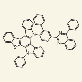 c1ccc(-c2cc(-c3nc(-c4ccccc4)c4ccccc4n3)ccc2-n2c3ccccc3c3c4c5ccccc5sc4c4c(c5ccccc5n4-c4ccccc4)c32)cc1